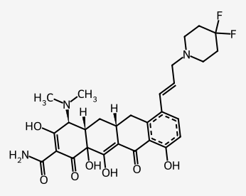 CN(C)[C@@H]1C(O)=C(C(N)=O)C(=O)C2(O)C(O)=C3C(=O)c4c(O)ccc(/C=C/CN5CCC(F)(F)CC5)c4C[C@H]3C[C@@H]12